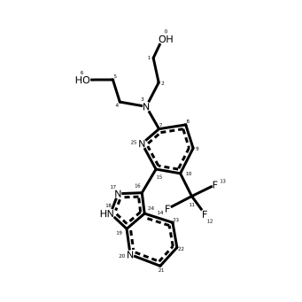 OCCN(CCO)c1ccc(C(F)(F)F)c(-c2n[nH]c3ncccc23)n1